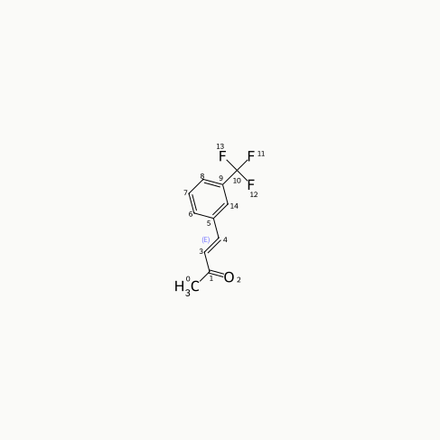 CC(=O)/C=C/c1cccc(C(F)(F)F)c1